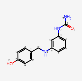 NC(=O)Nc1cccc(NCc2ccc(O)cc2)c1